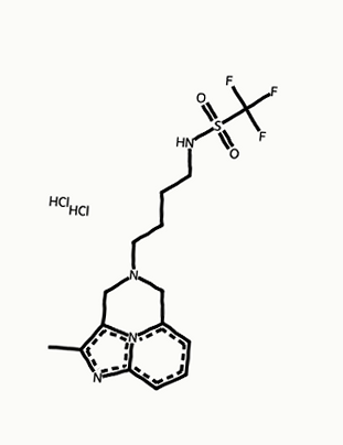 Cc1nc2cccc3n2c1CN(CCCCNS(=O)(=O)C(F)(F)F)C3.Cl.Cl